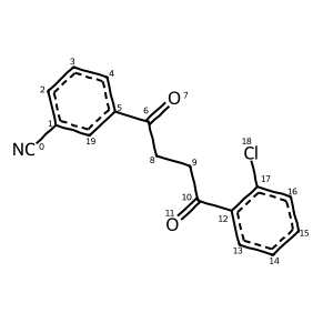 N#Cc1cccc(C(=O)CCC(=O)c2ccccc2Cl)c1